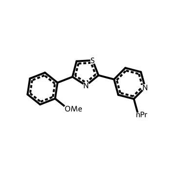 CCCc1cc(-c2nc(-c3ccccc3OC)cs2)ccn1